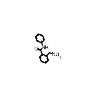 O=C(Nc1ccccc1)c1ccccc1C[N+](=O)[O-]